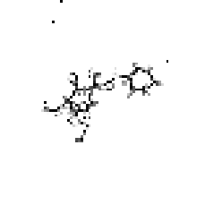 CCOC(=O)C12C(=O)N(C(=O)OCc3ccccc3)CCC1C2C